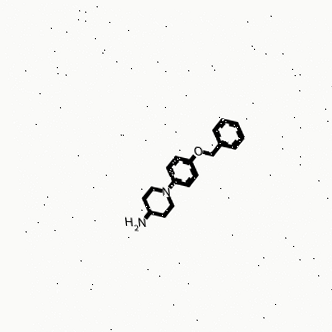 NC1CCN(c2ccc(OCc3ccccc3)cc2)CC1